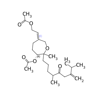 C=C(CC(=O)C(C)CCCC1(C)OC/C(=C/COC(C)=O)CC[C@H]1OC(C)=O)C(C)C